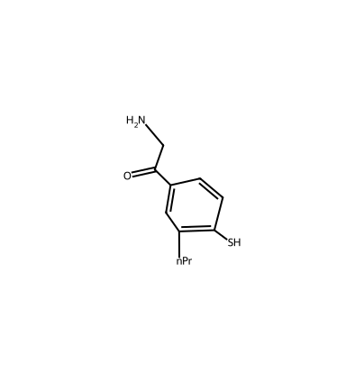 CCCc1cc(C(=O)CN)ccc1S